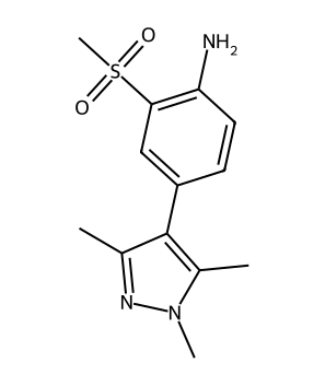 Cc1nn(C)c(C)c1-c1ccc(N)c(S(C)(=O)=O)c1